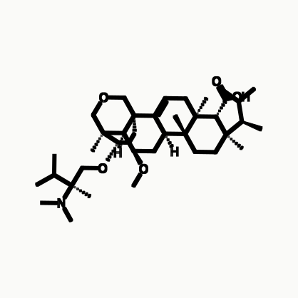 CO[C@@H]1C[C@@]23COC[C@@](C)([C@@H]2CC[C@H]2C3=CC[C@@]3(C)[C@H](C(=O)O)[C@@](C)([C@H](C)C(C)C)CC[C@]23C)[C@H]1OC[C@](C)(C(C)C)N(C)C